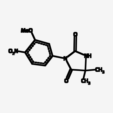 COc1cc(N2C(=O)NC(C)(C)C2=O)ccc1[N+](=O)[O-]